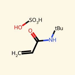 C=CC(=O)NC(C)(C)C.O=S(=O)(O)O